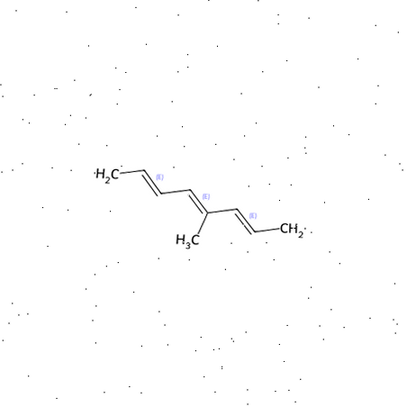 [CH2]/C=C/C=C(C)/C=C/[CH2]